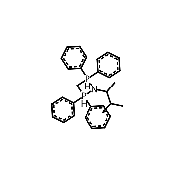 CC(C)C(C)N1[PH](c2ccccc2)(c2ccccc2)C[PH]1(c1ccccc1)c1ccccc1